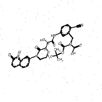 CC(C)(C)OC(=O)N(Cc1cc(NC(=O)[C@H](O)[C@H]2OCCN(c3ccc4ccc(=O)[nH]c4c3)C2=O)ccc1C#N)C(=O)O